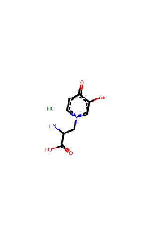 Cl.NC(Cn1ccc(=O)c(O)c1)C(=O)O